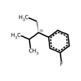 CC[C@H](c1cccc(F)c1)C(C)C